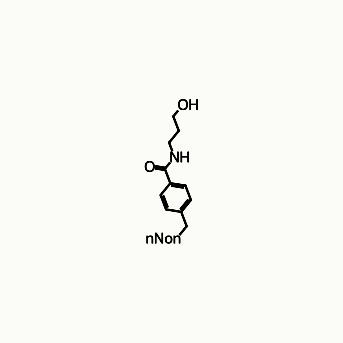 CCCCCCCCCCc1ccc(C(=O)NCCCO)cc1